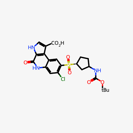 CC(C)(C)OC(=O)NC1CC[C@H](S(=O)(=O)c2cc3c(cc2Cl)[nH]c(=O)c2[nH]cc(C(=O)O)c23)C1